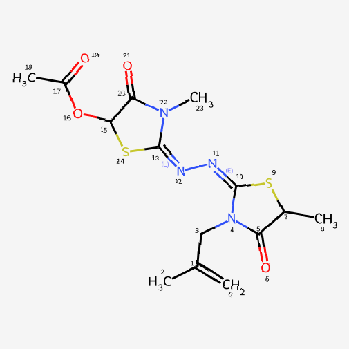 C=C(C)CN1C(=O)C(C)S/C1=N/N=C1/SC(OC(C)=O)C(=O)N1C